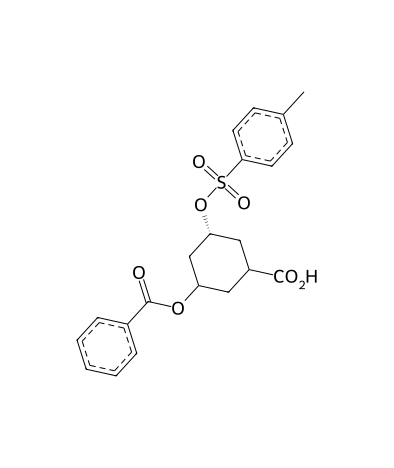 Cc1ccc(S(=O)(=O)O[C@H]2CC(OC(=O)c3ccccc3)CC(C(=O)O)C2)cc1